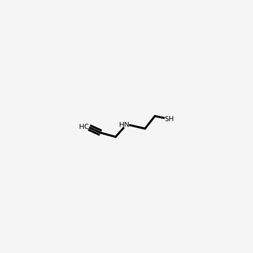 C#CCNCCS